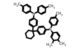 Cc1ccc(N(C2=CC(C)C(C)C=C2)c2ccc(C3(c4ccc(N(c5ccc(C)cc5)c5ccc(C)cc5)cc4)CCCCC3)cc2)cc1